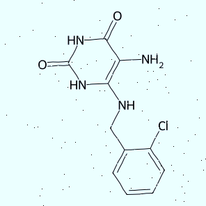 Nc1c(NCc2ccccc2Cl)[nH]c(=O)[nH]c1=O